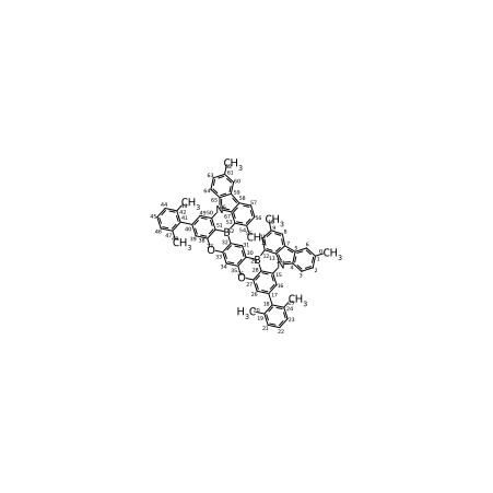 Cc1ccc2c(c1)c1cc(C)cc3c1n2-c1cc(-c2c(C)cccc2C)cc2c1B3c1cc3c(cc1O2)Oc1cc(-c2c(C)cccc2C)cc2c1B3c1c(C)ccc3c4cc(C)ccc4n-2c13